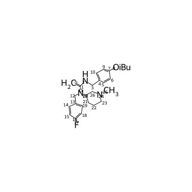 C=C(NCc1ccc(OCC(C)C)cc1)N(Cc1ccc(F)cc1)[C@H]1CCCN(C)C1